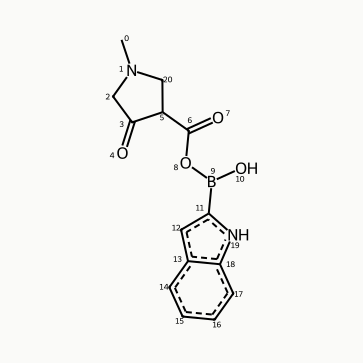 CN1CC(=O)C(C(=O)OB(O)c2cc3ccccc3[nH]2)C1